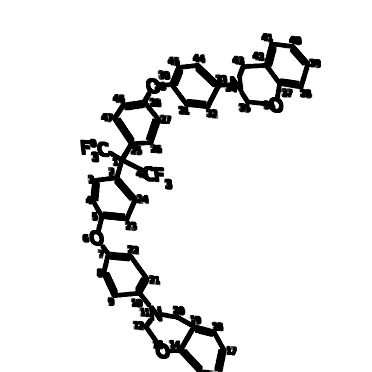 FC(F)(F)C(c1ccc(Oc2ccc(N3COc4ccccc4C3)cc2)cc1)(c1ccc(Oc2ccc(N3COc4ccccc4C3)cc2)cc1)C(F)(F)F